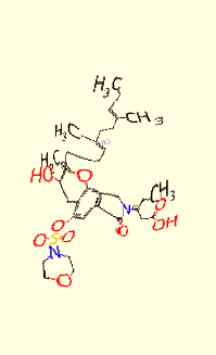 CCC=C(C)CC/C(C)=C/CC[C@@]1(C)Oc2c(c(OS(=O)(=O)N3CCOCC3)cc3c2CN([C@@H](CC)CC(=O)O)C3=O)CC1O